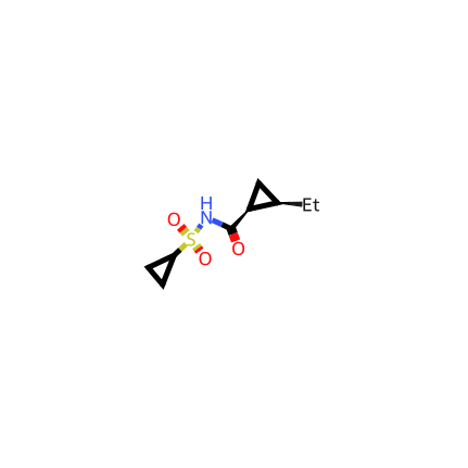 CC[C@@H]1C[C@@H]1C(=O)NS(=O)(=O)C1CC1